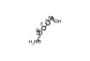 NC(=O)CCC1CN(c2ccc(-c3ccc(-c4nccn4CO)nc3)c(F)c2)C(=O)O1